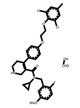 COc1ccc(F)c(CN(C(=O)C2=C(c3ccc(OCCOc4c(Cl)cc(C)cc4Cl)cc3)CCNC2)C2CC2)c1.O=CO